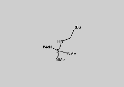 CN[Si](NC)(NC)NCC(C)(C)C